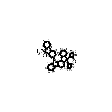 CC1(C)c2ccccc2-c2ccc(-n3c4ccccc4c4ccc5c(c43)-c3ccccc3C53c4ccccc4Oc4ccccc43)cc21